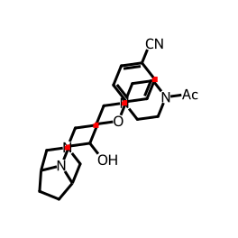 CC(=O)N1CCN(CCCN2CC3CCC(C2)N3CC(O)COc2ccc(C#N)cc2)CC1